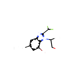 CC(CO)n1c(C(F)F)nc2cc(C(=O)O)cc(Br)c21